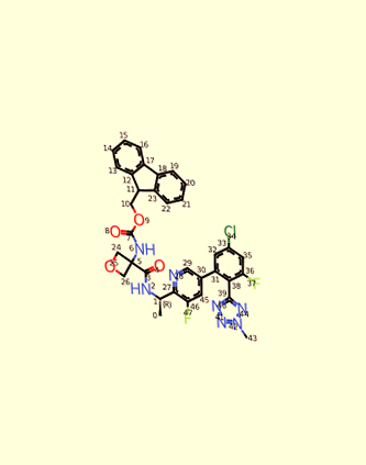 C[C@@H](NC(=O)C1(NC(=O)OCC2c3ccccc3-c3ccccc32)COC1)c1ncc(-c2cc(Cl)cc(F)c2-c2nnn(C)n2)cc1F